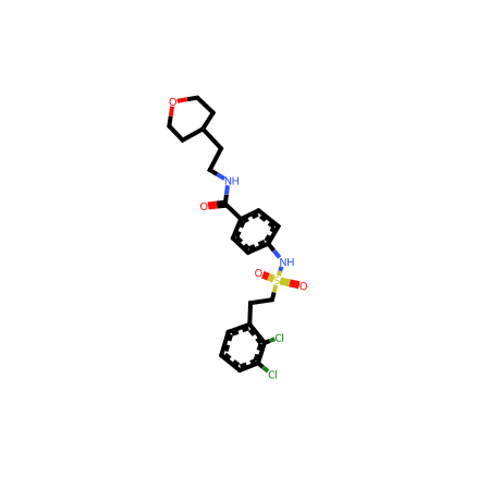 O=C(NCCC1CCOCC1)c1ccc(NS(=O)(=O)CCc2cccc(Cl)c2Cl)cc1